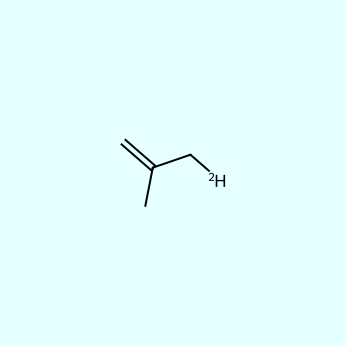 [2H]CC(=C)C